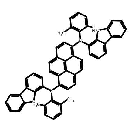 Cc1cccc(C)c1N(c1ccc2ccc3c(N(c4c(C)cccc4C)c4cccc5c4oc4ccccc45)ccc4ccc1c2c43)c1cccc2c1oc1ccccc12